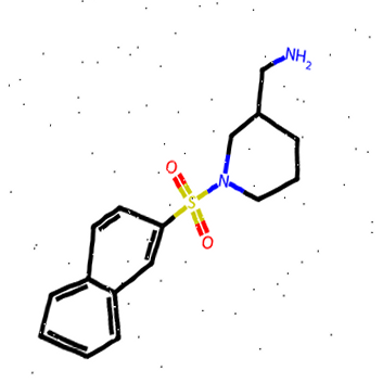 NCC1CCCN(S(=O)(=O)c2ccc3ccccc3c2)C1